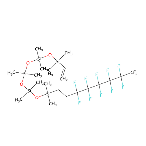 C=C[Si](C)(C)O[Si](C)(C)O[Si](C)(C)O[Si](C)(C)O[Si](C)(C)CCC(F)(F)C(F)(F)C(F)(F)C(F)(F)C(F)(F)C(F)(F)F